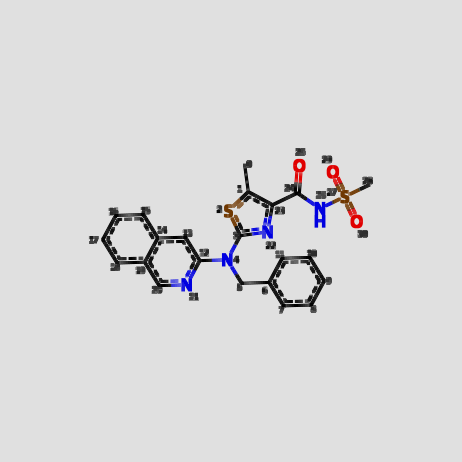 Cc1sc(N(Cc2ccccc2)c2cc3ccccc3cn2)nc1C(=O)NS(C)(=O)=O